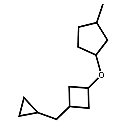 CC1CCC(OC2CC(CC3CC3)C2)C1